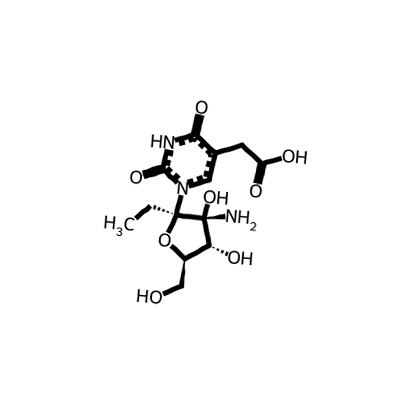 CC[C@@]1(n2cc(CC(=O)O)c(=O)[nH]c2=O)O[C@H](CO)[C@@H](O)[C@@]1(N)O